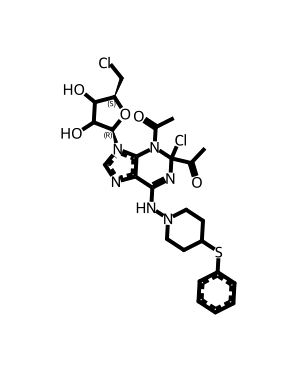 CC(=O)N1c2c(ncn2[C@@H]2O[C@H](CCl)C(O)C2O)C(NN2CCC(Sc3ccccc3)CC2)=NC1(Cl)C(C)=O